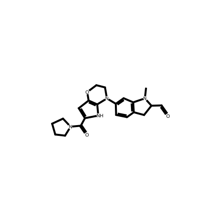 CN1c2cc(N3CCOc4cc(C(=O)N5CCCC5)[nH]c43)ccc2CC1C=O